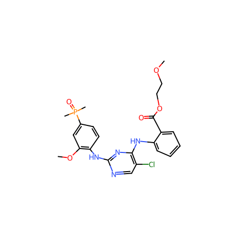 COCCOC(=O)c1ccccc1Nc1nc(Nc2ccc(P(C)(C)=O)cc2OC)ncc1Cl